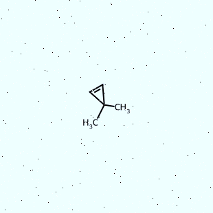 CC1(C)[C]=C1